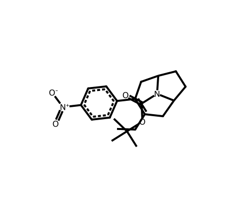 CCC1=C(c2ccc([N+](=O)[O-])cc2)CC2CCC(C1)N2C(=O)OC(C)(C)C